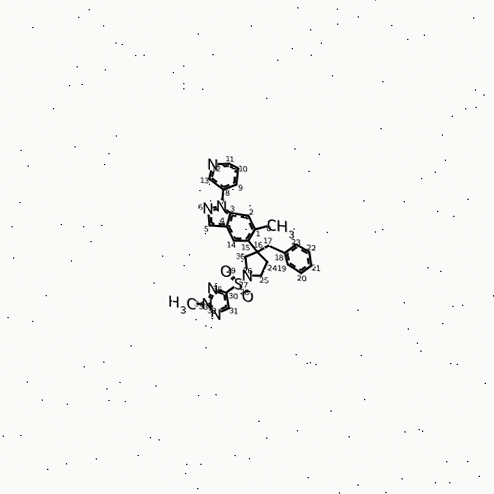 Cc1cc2c(cnn2-c2cccnc2)cc1C1(Cc2ccccc2)CCN(S(=O)(=O)c2cnn(C)n2)C1